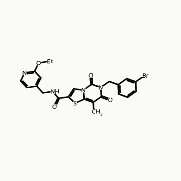 CCOc1cc(CNC(=O)c2cn3c(=O)n(Cc4cccc(Br)c4)c(=O)c(C)c3s2)ccn1